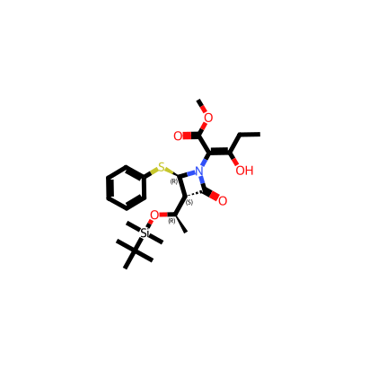 CCC(O)=C(C(=O)OC)N1C(=O)[C@H]([C@@H](C)O[Si](C)(C)C(C)(C)C)[C@H]1Sc1ccccc1